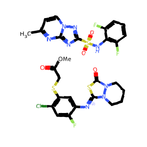 COC(=O)CSc1cc(/N=c2\sc(=O)n3n2CCCC3)c(F)cc1Cl.Cc1ccn2nc(S(=O)(=O)Nc3c(F)cccc3F)nc2n1